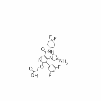 N[C@H]1CCN(c2c(C(=O)NC3CCC(F)(F)CC3)cnc(OCCC(=O)O)c2-c2cc(F)cc(F)c2)C1